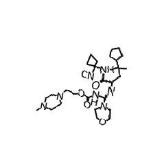 CN1CCN(CCOC(=O)N/C(=N\C(CC(C)(C)C2CCCC2)C(=O)NC2(C#N)CCC2)N2CCOCC2)CC1